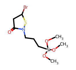 CO[Si](CCCN1SC(Br)CC1=O)(OC)OC